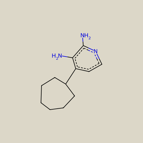 Nc1nccc(C2CCCCCC2)c1N